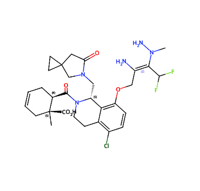 CN(N)/C(=C(\N)COc1ccc(Cl)c2c1[C@@H](CN1CC3(CC3)CC1=O)N(C(=O)[C@@H]1CC=CC[C@]1(C)C(=O)O)CC2)C(F)F